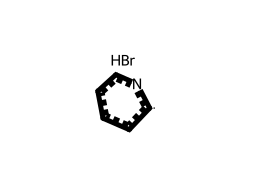 Br.[c]1ccccn1